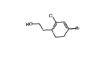 OCCC1=C(Cl)C=C(Br)[CH]C1